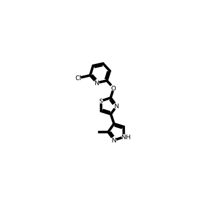 Cc1n[nH]cc1-c1csc(Oc2cccc(Cl)n2)n1